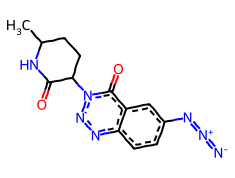 CC1CCC(n2nnc3ccc(N=[N+]=[N-])cc3c2=O)C(=O)N1